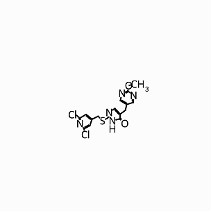 COc1ncc(Cc2cnc(SCc3cc(Cl)nc(Cl)c3)[nH]c2=O)cn1